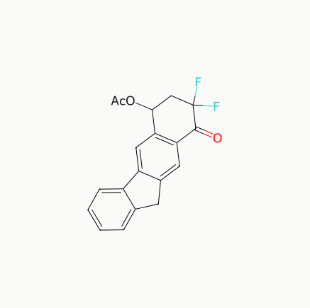 CC(=O)OC1CC(F)(F)C(=O)c2cc3c(cc21)-c1ccccc1C3